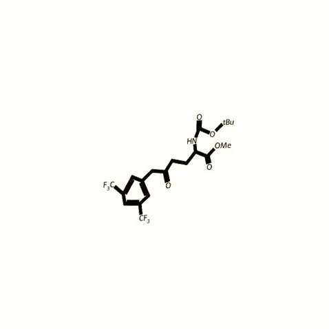 COC(=O)C(CCC(=O)Cc1cc(C(F)(F)F)cc(C(F)(F)F)c1)NC(=O)OC(C)(C)C